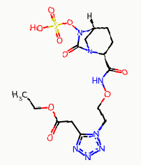 CCOC(=O)Cc1nnnn1CCONC(=O)[C@@H]1CC[C@@H]2CN1C(=O)N2OS(=O)(=O)O